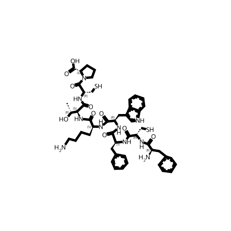 C[C@@H](O)[C@H](NC(=O)[C@H](CCCCN)NC(=O)[C@@H](Cc1c[nH]c2ccccc12)NC(=O)[C@H](Cc1ccccc1)NC(=O)[C@H](CS)NC(=O)[C@H](N)Cc1ccccc1)C(=O)N[C@@H](CS)C(=O)N1CCC[C@H]1C(=O)O